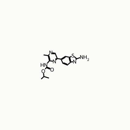 Cc1ncc(-c2ccc3nc(N)sc3c2)nc1NC(=O)OC(C)C